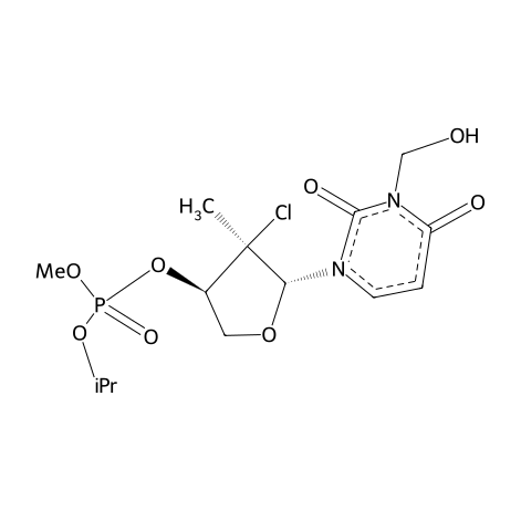 COP(=O)(OC(C)C)O[C@@H]1CO[C@@H](n2ccc(=O)n(CO)c2=O)[C@]1(C)Cl